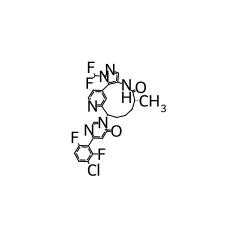 C[C@@H]1CCC[C@H](n2cnc(-c3c(F)ccc(Cl)c3F)cc2=O)c2cc(ccn2)-c2c(cnn2C(F)F)NC1=O